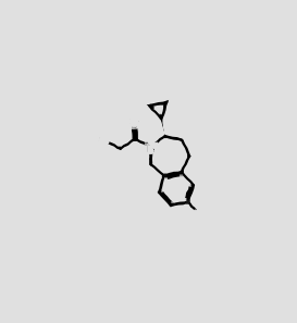 O=C(CBr)N1Cc2ccc(F)cc2CC[C@@H]1C1CC1